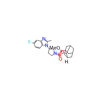 COC(=O)C12CC3CC(C1)C(OC(=O)N1CCC(n4c(C)nc5cc(F)ccc54)C1)[C@@H](C3)C2